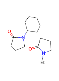 CCN1CCCC1=O.O=C1CCCN1C1CCCCC1